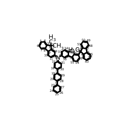 CC1(C)c2ccccc2-c2ccc(N(c3ccc(-c4ccc(-c5ccccc5)cc4)cc3)c3ccc4oc5c(C6(C)c7ccccc7-c7ccccc76)cccc5c4c3)cc21